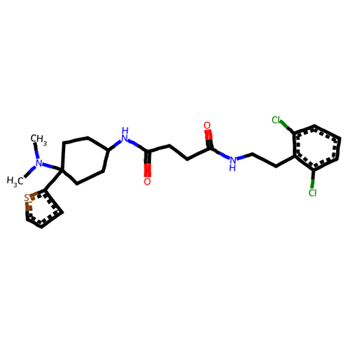 CN(C)C1(c2cccs2)CCC(NC(=O)CCC(=O)NCCc2c(Cl)cccc2Cl)CC1